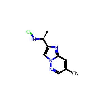 C[C@H](NCl)c1cn2ncc(C#N)cc2n1